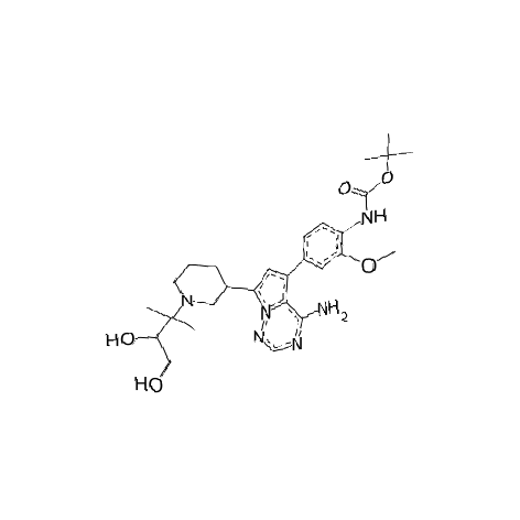 COc1cc(-c2cc(C3CCCN(C(C)(C)C(O)CO)C3)n3ncnc(N)c23)ccc1NC(=O)OC(C)(C)C